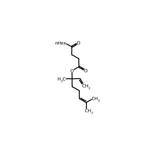 C=CC(C)(CCC=C(C)C)OC(=O)CCC(=O)CCCCCC